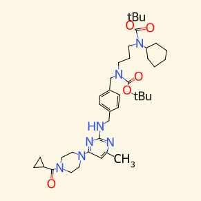 Cc1cc(N2CCN(C(=O)C3CC3)CC2)nc(NCc2ccc(CN(CCCN(C(=O)OC(C)(C)C)C3CCCCC3)C(=O)OC(C)(C)C)cc2)n1